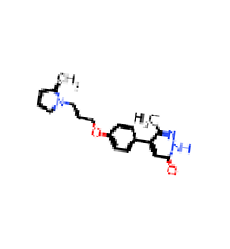 Cc1n[nH]c(=O)cc1-c1ccc(OCCCN2CCCC2C)cc1